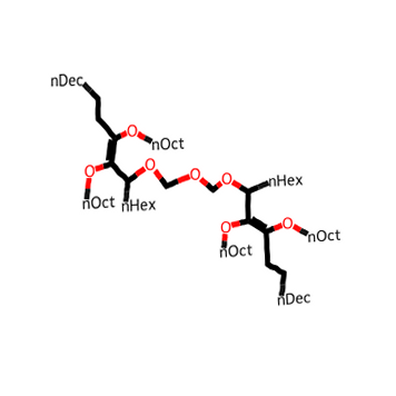 CCCCCCCCCCCCC(OCCCCCCCC)=C(OCCCCCCCC)C(CCCCCC)OCOCOC(CCCCCC)C(OCCCCCCCC)=C(CCCCCCCCCCCC)OCCCCCCCC